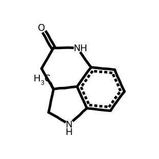 CC12CNc3cccc(c31)NC(=O)C2